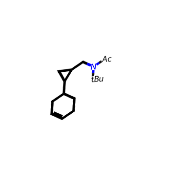 CC(=O)N(CC1CC1C1CC=CCC1)C(C)(C)C